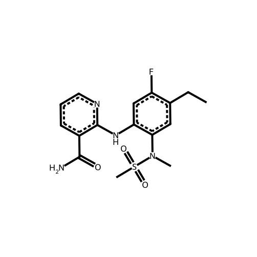 CCc1cc(N(C)S(C)(=O)=O)c(Nc2ncccc2C(N)=O)cc1F